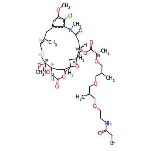 COc1cc2cc(c1Cl)N(C)C(=O)C[C@H](OC(=O)[C@H](C)OCC(C)COCC(C)COCCNC(=O)CBr)[C@@]1(C)CC(C)(O1)C1C[C@@](O)(NC(=O)O1)[C@H](OC)/C=C/C=C(\C)C2